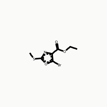 CCOC(=O)c1nc(SC)oc1Br